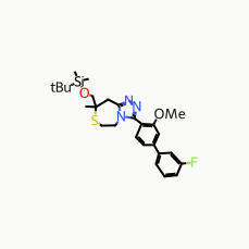 COc1cc(-c2cccc(F)c2)ccc1-c1nnc2n1CCSC(C)(CO[Si](C)(C)C(C)(C)C)C2